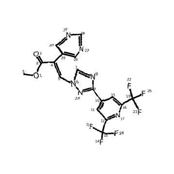 COC(=O)/C(=C/n1cnc(-c2cc(C(F)(F)F)nc(C(F)(F)F)c2)n1)c1cncnc1